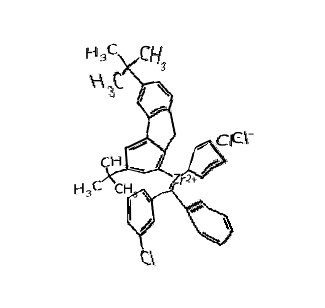 CC(C)(C)c1ccc2c(c1)-c1cc(C(C)(C)C)c[c]([Zr+2](=[C](c3ccccc3)c3cccc(Cl)c3)[CH]3C=CC=C3)c1C2.[Cl-].[Cl-]